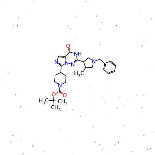 CC1CN(Cc2ccccc2)CC1c1nn2c(C3CCN(C(=O)OC(C)(C)C)CC3)ncc2c(=O)[nH]1